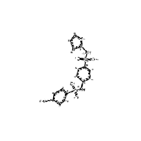 CCCc1ccc(S(=O)(=O)Nc2ccc(S(=O)(=O)Nc3nccs3)cc2)cc1